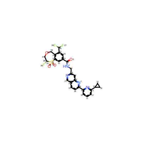 O=C(NCc1cc2nc(-c3cccc(C4CC4)n3)ccc2cn1)c1cc(C(F)F)c2c(c1)S(=O)(=O)[C@@H](F)COC2